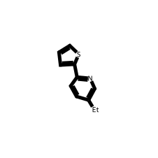 CCc1ccc(-c2cccs2)nc1